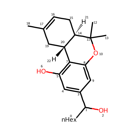 CCCCCCC(O)c1cc(O)c2c(c1)OC(C)(C)[C@@H]1CC=C(C)C[C@@H]21